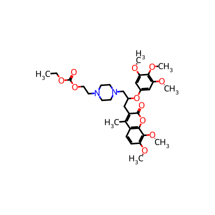 CCOC(=O)OCCN1CCN(CC(Cc2c(C)c3ccc(OC)c(OC)c3oc2=O)Oc2cc(OC)c(OC)c(OC)c2)CC1